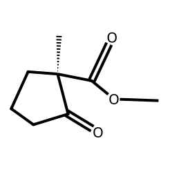 COC(=O)[C@]1(C)CCCC1=O